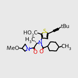 COC1CN(C(=O)[C@H](C)N(C(=O)C2CCC(C)CC2)c2cc(C#CC(C)(C)C)sc2C(=O)O)C1